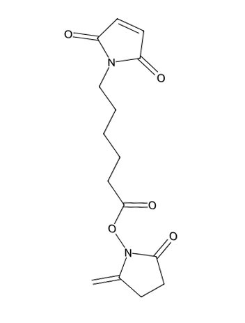 C=C1CCC(=O)N1OC(=O)CCCCCN1C(=O)C=CC1=O